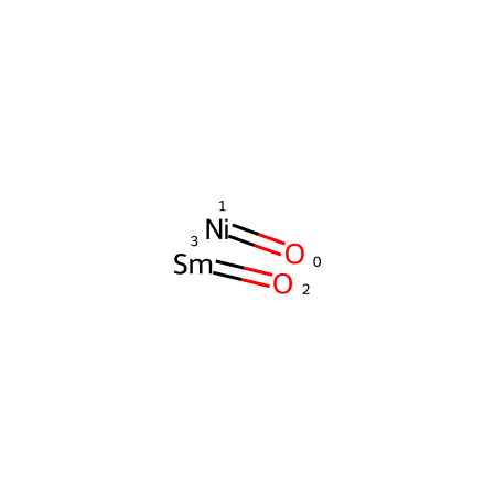 [O]=[Ni].[O]=[Sm]